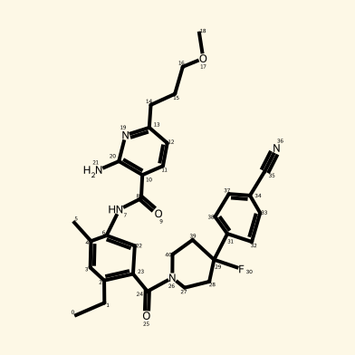 CCc1cc(C)c(NC(=O)c2ccc(CCCOC)nc2N)cc1C(=O)N1CCC(F)(c2ccc(C#N)cc2)CC1